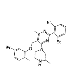 CCc1cccc(CC)c1-c1nc(C)c(COc2cc(C(C)C)ccc2C)c(N2CCNC(C)C2)n1